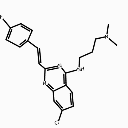 CN(C)CCCNc1nc(/C=C/c2ccc(F)cc2)nc2cc(Cl)ccc12